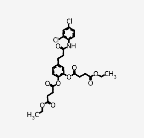 CCOC(=O)CCC(=O)Oc1ccc(CCC(=O)Nc2ccc(Cl)cc2Cl)cc1OC(=O)CCC(=O)OCC